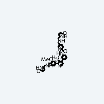 COc1cc(-c2nccc(-c3cccc(NC(=O)c4ccc(CNCC5CCC(=O)N5)cn4)c3C)c2Cl)ccc1CNCC1CCC(=O)N1